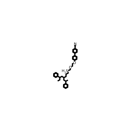 CCC(CC(CCC[SiH2]COCCOc1ccc(-c2ccc(C#N)cc2)cc1)CC(C)c1ccccc1)c1ccccc1